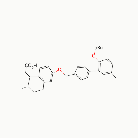 CCCCOc1ccc(C)cc1-c1ccc(COc2ccc3c(c2)CCC(C)C3CC(=O)O)cc1